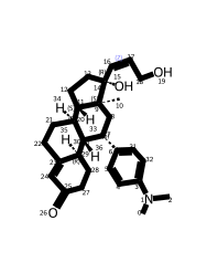 CN(C)c1ccc([C@H]2C[C@@]3(C)[C@@H](CC[C@@]3(O)/C=C\CO)[C@@H]3CCC4=CC(=O)CC[C@@H]4[C@H]32)cc1